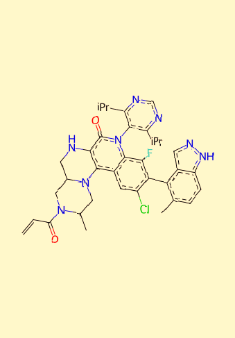 C=CC(=O)N1CC2CNc3c(c4cc(Cl)c(-c5c(C)ccc6[nH]ncc56)c(F)c4n(-c4c(C(C)C)ncnc4C(C)C)c3=O)N2CC1C